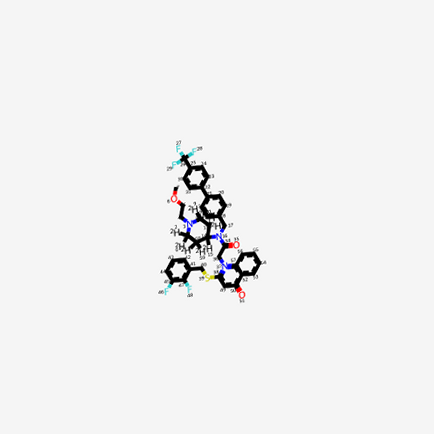 [2H]C1([2H])N(CCOC)C([2H])([2H])C([2H])([2H])C([2H])(N(Cc2ccc(-c3ccc(C(F)(F)F)cc3)cc2)C(=O)Cn2c(SCc3cccc(F)c3F)cc(=O)c3ccccc32)C1([2H])[2H]